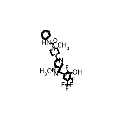 C[C@H]1CN(c2cc3c(cn2)c(-c2cc(C(F)(F)F)c(F)c(O)c2F)nn3C)CCN1C(=O)Nc1ccccc1